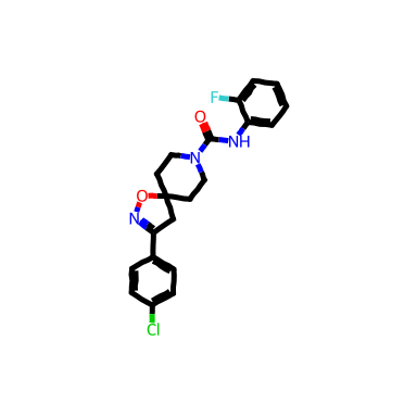 O=C(Nc1ccccc1F)N1CCC2(CC1)CC(c1ccc(Cl)cc1)=NO2